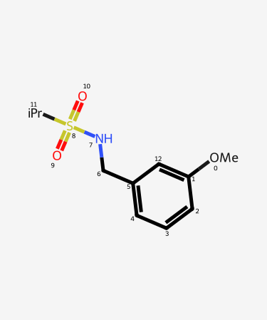 COc1cccc(CNS(=O)(=O)C(C)C)c1